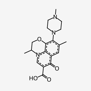 Cc1cc2c(=O)c(C(=O)O)cn3c2c(c1N1CCN(C)CC1)OCC3C